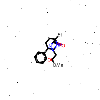 CCC12CCC(c3ccccc3)(CN1)N(CC(=O)OC)C2=O